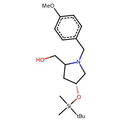 COc1ccc(CN2C[C@H](O[Si](C)(C)C(C)(C)C)CC2CO)cc1